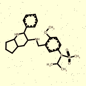 COc1ccc(N(C(C)C)S(C)(=O)=O)cc1CNC1CC2CCCC2NC1c1ccccc1